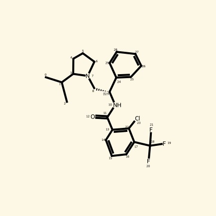 CC(C)C1CCCN1C[C@@H](NC(=O)c1cccc(C(F)(F)F)c1Cl)c1ccccc1